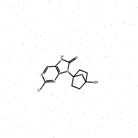 OC12CCC(n3c(=S)[nH]c4cnc(Cl)nc43)(CC1)C2